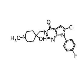 CN1CCC(O)(Cn2cnc3c(cc(Cl)n3-c3ccc(F)cc3)c2=O)CC1